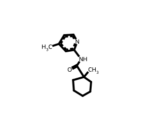 Cc1ccnc(NC(=O)C2(C)CCCCC2)c1